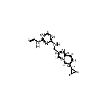 C=CNc1ncnc(NCc2cn3cc(C4CC4)ccc3n2)n1